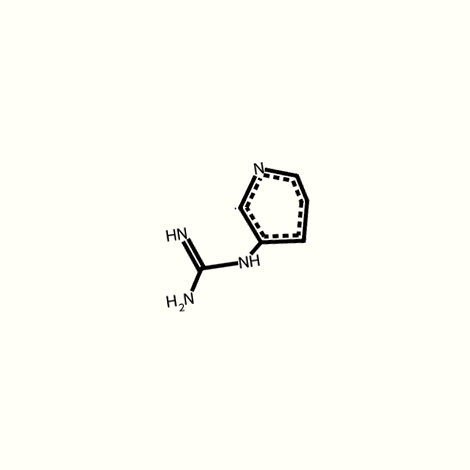 N=C(N)Nc1[c]nccc1